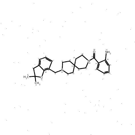 CC1(C)Cc2cccc(CN3CCC4(CC3)CCN(C(=O)c3ccccc3N)CC4)c2O1